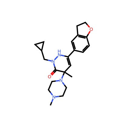 CN1CCN(C2(C)C=C(c3ccc4c(c3)CCO4)NN(CC3CC3)C2=O)CC1